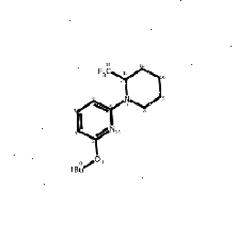 CC(C)(C)Oc1c[c]cc(N2CCCCC2C(F)(F)F)n1